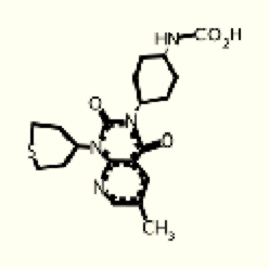 Cc1cnc2c(c1)c(=O)n([C@H]1CC[C@@H](NC(=O)O)CC1)c(=O)n2C1CCSCC1